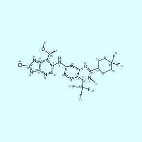 CO[C@@H](C)c1c(Nc2ccc([C@H](N(C)C(=O)C3CCC(F)(F)CC3)C(F)(F)F)cc2)cnc2nc(Cl)nn12